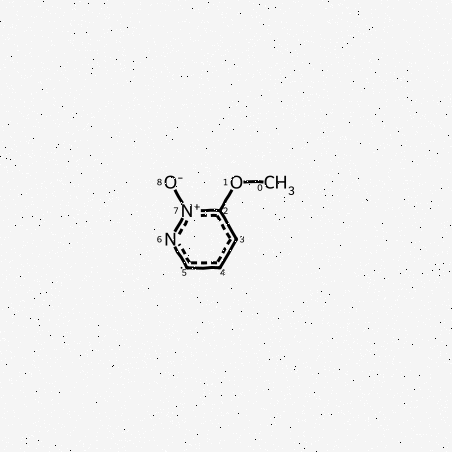 COc1cc[c]n[n+]1[O-]